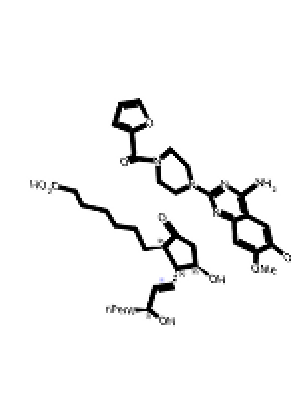 CCCCC[C@H](O)/C=C/[C@H]1[C@H](O)CC(=O)[C@@H]1CCCCCCC(=O)O.COc1cc2nc(N3CCN(C(=O)c4ccco4)CC3)nc(N)c2cc1OC